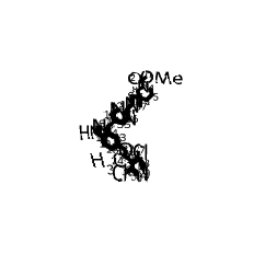 COC(=O)N1CCCC2(C1)CN(c1ncc(-c3n[nH]c4ccc(O[C@H](C)c5c(Cl)cncc5Cl)cc34)cn1)C2